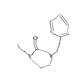 CCN1CCN(Cc2ccccc2)C1=O